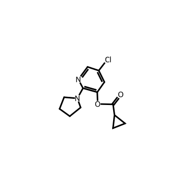 O=C(Oc1cc(Cl)cnc1N1CCCC1)C1CC1